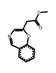 COC(=O)CC1=CN=Cc2ccccc2O1